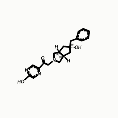 O=C(CN1C[C@@H]2C[C@@](O)(Cc3ccccc3)C[C@@H]2C1)c1cnc(O)cn1